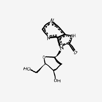 O=c1[nH]c2cncnc2n1[C@H]1CC(O)[C@@H](CO)O1